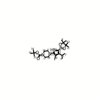 CC(C)c1c(B2OC(C)(C)C(C)(C)O2)[nH]c(N2CCN(C(=O)OC(C)(C)C)CC2)c1F